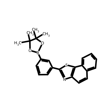 CC1(C)OB(c2cccc(-c3nc4ccc5ccccc5c4s3)c2)OC1(C)C